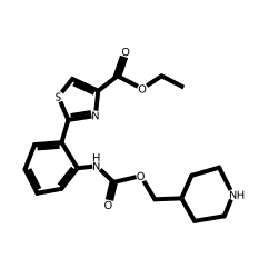 CCOC(=O)c1csc(-c2ccccc2NC(=O)OCC2CCNCC2)n1